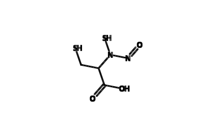 O=NN(S)C(CS)C(=O)O